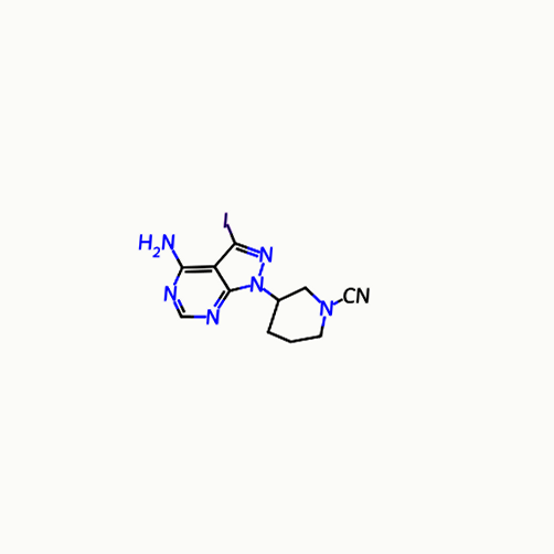 N#CN1CCCC(n2nc(I)c3c(N)ncnc32)C1